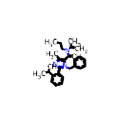 C=C(C)N(CCC)C(=C)c1c(C)nc(-c2ccccc2C(C)C)n1Cc1ccccc1